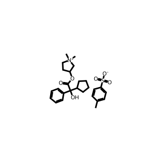 C[N+]1(C)CCC(OC(=O)C(O)(c2ccccc2)C2CCCC2)C1.Cc1ccc(S(=O)(=O)[O-])cc1